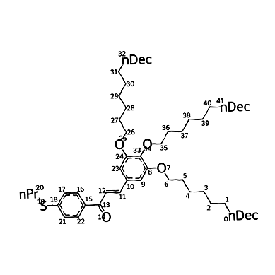 CCCCCCCCCCCCCCCCOc1cc(C=CC(=O)c2ccc(SCCC)cc2)cc(OCCCCCCCCCCCCCCCC)c1OCCCCCCCCCCCCCCCC